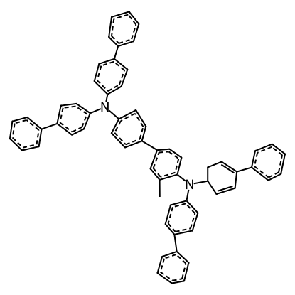 Cc1cc(-c2ccc(N(c3ccc(-c4ccccc4)cc3)c3ccc(-c4ccccc4)cc3)cc2)ccc1N(c1ccc(-c2ccccc2)cc1)C1C=CC(c2ccccc2)=CC1